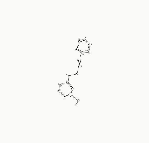 COc1cccc(SCC#Cc2ccccc2)c1